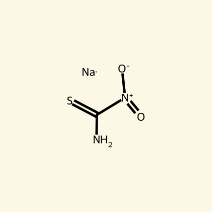 NC(=S)[N+](=O)[O-].[Na]